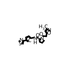 Cc1cc(CC(=O)N2CCC[C@H]2C(=O)NCc2ccc(-c3cscn3)cc2)on1